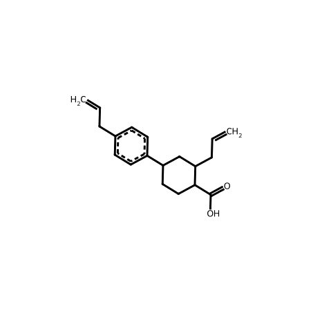 C=CCc1ccc(C2CCC(C(=O)O)C(CC=C)C2)cc1